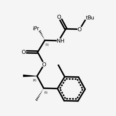 Cc1ccccc1[C@H](C)[C@@H](C)OC(=O)[C@@H](NC(=O)OC(C)(C)C)C(C)C